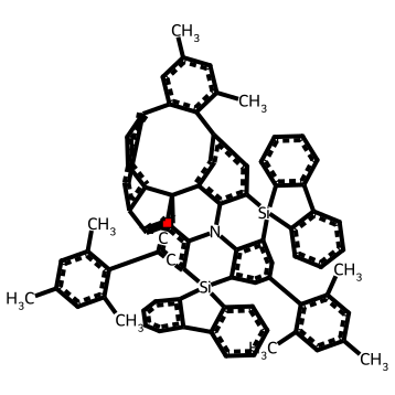 Cc1cc(C)c(-c2cc3c4c(c2)[Si]2(c5ccccc5-c5ccccc52)c2cc(-c5c(C)cc(C)cc5C)cc5c2N4c2c4cc(cc2[Si]52c5ccccc5-c5ccccc52)-c2c(C)cc(C)cc2-c2ccc5c(c2)-c2ccccc2C534)c(C)c1